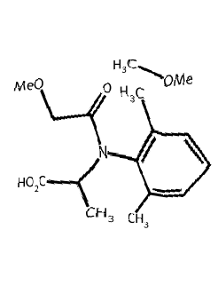 COC.COCC(=O)N(c1c(C)cccc1C)C(C)C(=O)O